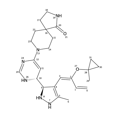 C=C/C(=C\C1=C(C)NN[C@H]1[C@H]1C=C(N2CCC3(CCNC3=O)CC2)N=CN1)OC1(C)CC1